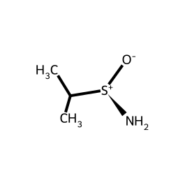 CC(C)[S@+](N)[O-]